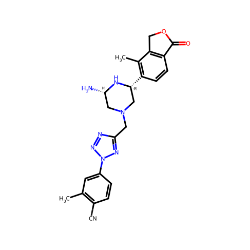 Cc1cc(-n2nnc(CN3C[C@@H](c4ccc5c(c4C)COC5=O)N[C@@H](N)C3)n2)ccc1C#N